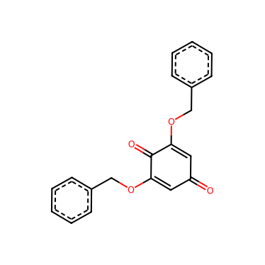 O=C1C=C(OCc2ccccc2)C(=O)C(OCc2ccccc2)=C1